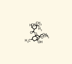 CCC(CC(C)(C)C)C(=O)OC12CC(C)CC(O)(CC(CC)(OC)C1)C2